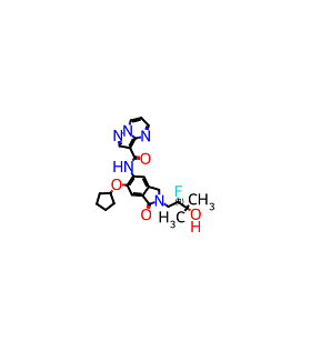 CC(C)(O)[C@H](F)CN1Cc2cc(NC(=O)c3cnn4cccnc34)c(OC3CCCC3)cc2C1=O